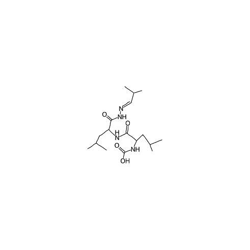 CC(C)/C=N/NC(=O)C(CC(C)C)NC(=O)C(CC(C)C)NC(=O)O